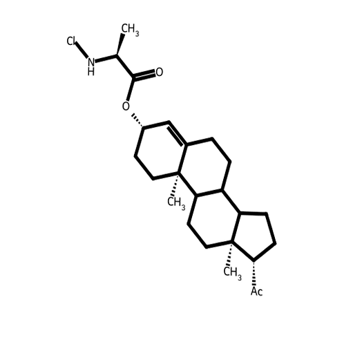 CC(=O)[C@H]1CCC2C3CCC4=C[C@@H](OC(=O)[C@H](C)NCl)CC[C@]4(C)C3CC[C@@]21C